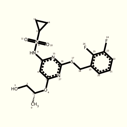 C[C@H](CO)Oc1cc(NS(=O)(=O)C2CC2)nc(SCc2cccc(F)c2F)n1